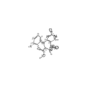 CCC(C(=O)OC)N(c1cccc(I)c1)c1nc(Cl)ncc1[N+](=O)[O-]